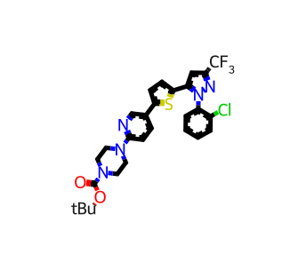 CC(C)(C)OC(=O)N1CCN(c2ccc(-c3ccc(-c4cc(C(F)(F)F)nn4-c4ccccc4Cl)s3)cn2)CC1